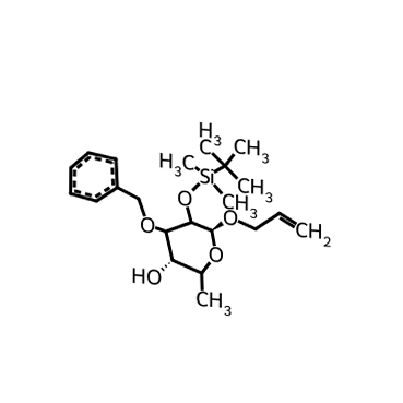 C=CCO[C@H]1OC(C)[C@H](O)C(OCc2ccccc2)C1O[Si](C)(C)C(C)(C)C